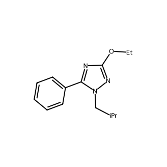 CCOc1nc(-c2ccccc2)n(CC(C)C)n1